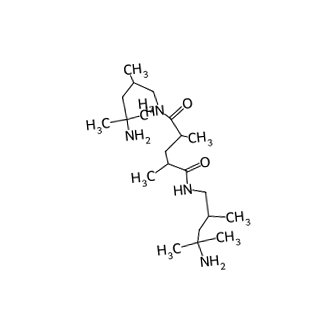 CC(CNC(=O)C(C)CC(C)C(=O)NCC(C)CC(C)(C)N)CC(C)(C)N